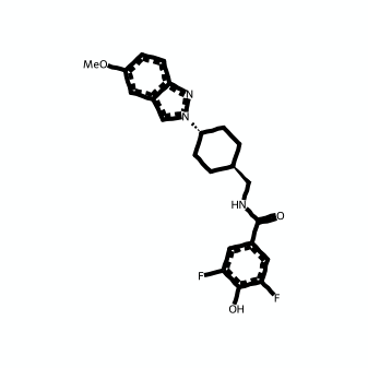 COc1ccc2nn([C@H]3CC[C@H](CNC(=O)c4cc(F)c(O)c(F)c4)CC3)cc2c1